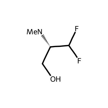 CN[C@@H](CO)C(F)F